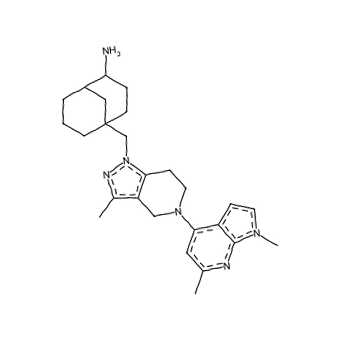 Cc1cc(N2CCc3c(c(C)nn3CC34CCCC(C3)C(N)CC4)C2)c2ccn(C)c2n1